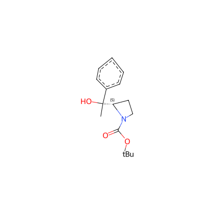 CC(C)(C)OC(=O)N1CC[C@H]1C(C)(O)c1ccccc1